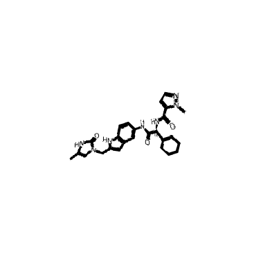 CC1CN(Cc2cc3cc(NC(=O)[C@@H](NC(=O)c4ccnn4C)C4CCCCC4)ccc3[nH]2)C(=O)N1